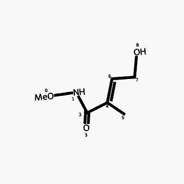 CONC(=O)C(C)=CCO